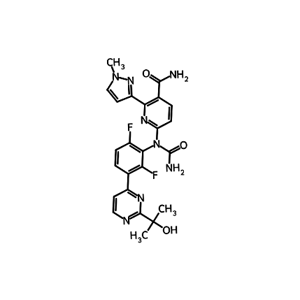 Cn1ccc(-c2nc(N(C(N)=O)c3c(F)ccc(-c4ccnc(C(C)(C)O)n4)c3F)ccc2C(N)=O)n1